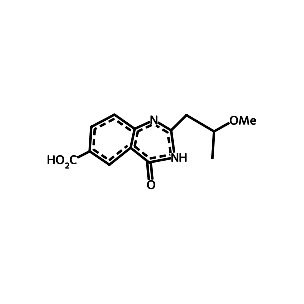 COC(C)Cc1nc2ccc(C(=O)O)cc2c(=O)[nH]1